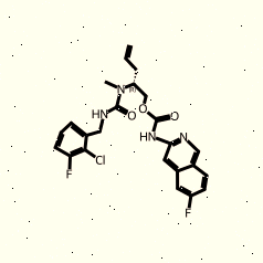 C=CC[C@H](COC(=O)Nc1cc2cc(F)ccc2cn1)N(C)C(=O)NCc1cccc(F)c1Cl